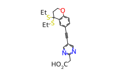 CCSC1(SCC)CCOc2ccc(C#Cc3cnc(CC(=O)O)nc3)cc21